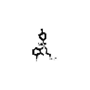 Cc1ccc(S(=O)(=O)N(CCCC(=O)O)c2cccc(Cl)c2C)cc1